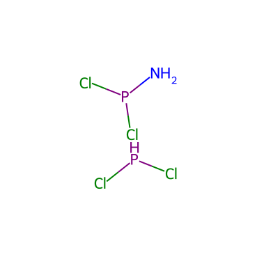 ClPCl.NP(Cl)Cl